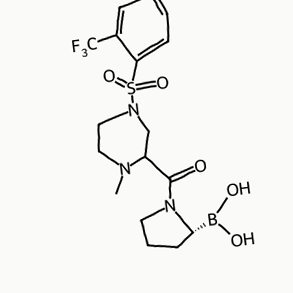 CN1CCN(S(=O)(=O)c2ccccc2C(F)(F)F)CC1C(=O)N1CCC[C@H]1B(O)O